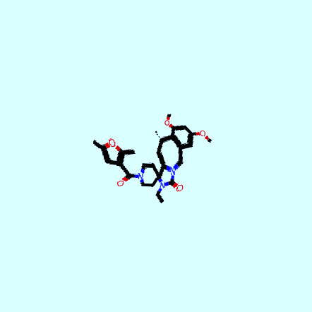 CCN1C(=O)N2Cc3cc(OC)cc(OC)c3[C@@H](C)C=C2C12CCN(C(=O)c1cc(C)oc1C)CC2